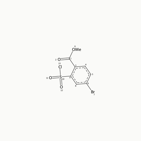 COC(=O)c1ccc(Br)cc1S(=O)(=O)Cl